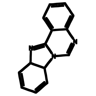 C1=CC2N=C3c4ccccc4N=CN3C2C=C1